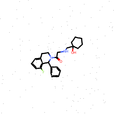 O=C(CNCC1(O)CCCCC1)N1CCc2cccc(F)c2C1c1ccccc1